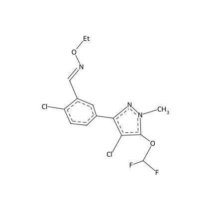 CCON=Cc1cc(-c2nn(C)c(OC(F)F)c2Cl)ccc1Cl